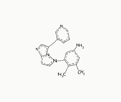 Cc1cc(N)cc(-n2ccc3ncc(-c4cccnc4)n32)c1C